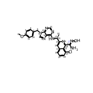 COc1ccc(Cn2cnc3c(N[C@@H](C)c4cc5cccc(Cl)c5c(/C(N)=N/O)n4)ncnc32)cc1